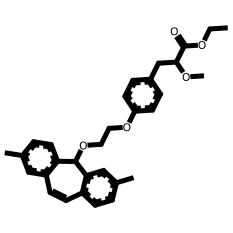 CCOC(=O)C(Cc1ccc(OCCOC2c3ccc(C)cc3C=Cc3ccc(C)cc32)cc1)OC